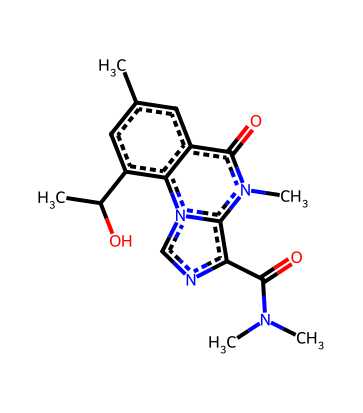 Cc1cc(C(C)O)c2c(c1)c(=O)n(C)c1c(C(=O)N(C)C)ncn21